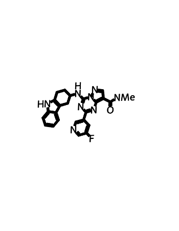 CNC(=O)c1cnn2c(NC3CCc4[nH]c5ccccc5c4C3)nc(-c3cncc(F)c3)nc12